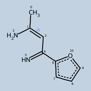 C/C(N)=C/C(=N)c1ccco1